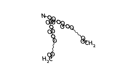 C=CC(=O)OCCCCCCCOc1ccc(C(=O)Oc2ccc(C(=O)Oc3ccc(C#N)cc3OC(=O)c3ccc(OC(=O)c4ccc(OCCCCCCCOC(=O)C=C)cc4)cc3)cc2)cc1